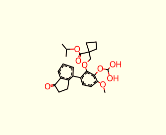 COc1ccc(-c2cccc3c2CCC3=O)c(OCC2(C(=O)OC(C)C)CCC2)c1OC(O)O